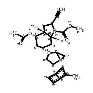 C#CC1C[C@H]2[C@@H](OC(C)=O)CCC[C@H]2N1C(=O)OC.C1CN2CC2O1.Cc1cc2ccc1-2